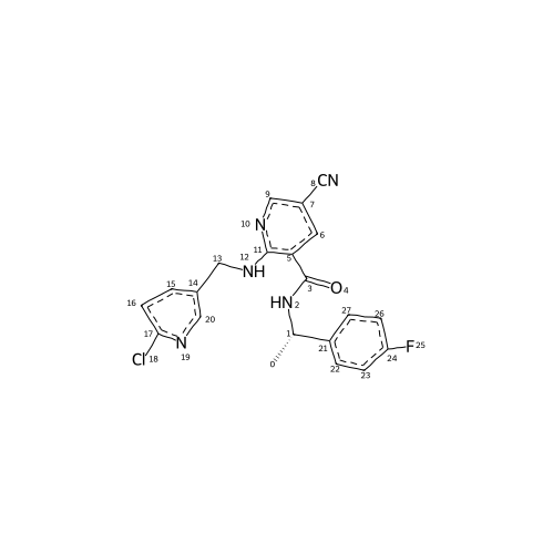 C[C@H](NC(=O)c1cc(C#N)cnc1NCc1ccc(Cl)nc1)c1ccc(F)cc1